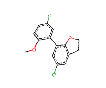 COc1ccc(Cl)cc1-c1cc(Cl)cc2c1O[CH]C2